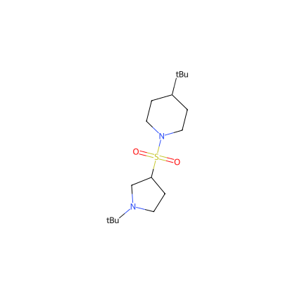 CC(C)(C)C1CCN(S(=O)(=O)C2CCN(C(C)(C)C)C2)CC1